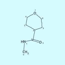 CNC(=O)C1CCOCC1